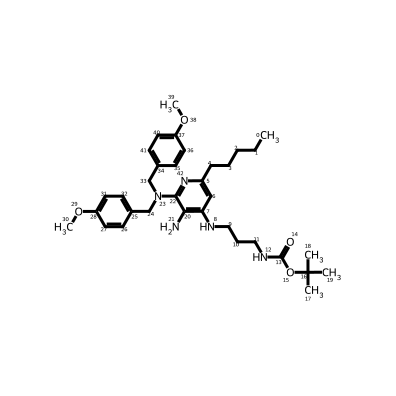 CCCCCc1cc(NCCCNC(=O)OC(C)(C)C)c(N)c(N(Cc2ccc(OC)cc2)Cc2ccc(OC)cc2)n1